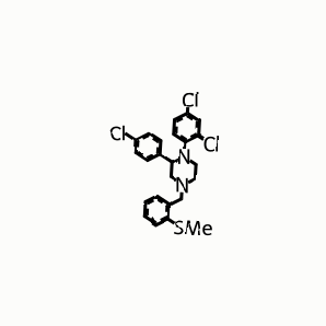 CSc1ccccc1CN1CCN(c2ccc(Cl)cc2Cl)C(c2ccc(Cl)cc2)C1